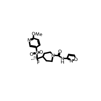 COc1ccc(S(=O)(=O)[C@](C)(F)C2CCN(C(=O)Nc3ccon3)CC2)cn1